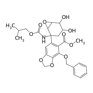 COC(=O)c1c(C2(NC(=O)OCC(C)C)CC(O)C(O)C3OC32)cc2c(c1OCc1ccccc1)OCO2